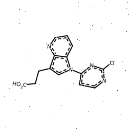 O=C(O)CCc1cn(-c2ccnc(Cl)n2)c2cccnc12